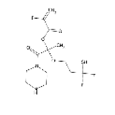 C=C(F)C(=O)OC(C)(OCCC(F)(F)S)C(=O)N1CCNCC1